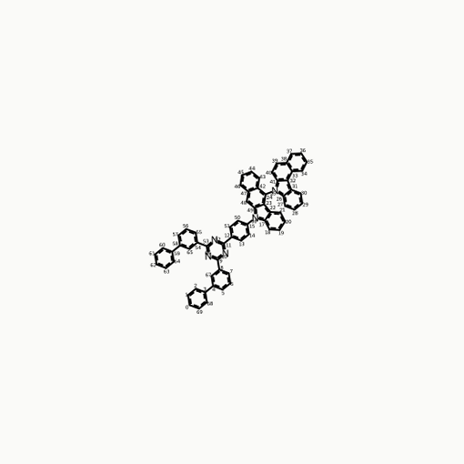 c1ccc(-c2cccc(-c3nc(-c4ccc(-n5c6ccccc6c6c(-n7c8ccccc8c8c9ccccc9ccc87)c7ccccc7cc65)cc4)nc(-c4cccc(-c5ccccc5)c4)n3)c2)cc1